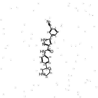 N#Cc1cccc(-c2cc(C(=O)Nc3ccc(C4CNCCO4)cc3)n[nH]2)c1